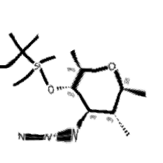 C[C@@H]1[C@@H](N=[N+]=[N-])[C@H](O[Si](C)(C)C(C)(C)C)[C@@H](C)O[C@H]1C